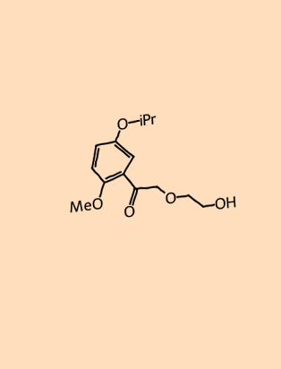 COc1ccc(OC(C)C)cc1C(=O)COCCO